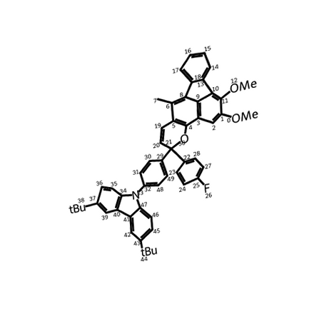 COc1cc2c3c(c(C)c4c2c(c1OC)-c1ccccc1-4)C=CC(c1ccc(F)cc1)(c1ccc(-n2c4ccc(C(C)(C)C)cc4c4cc(C(C)(C)C)ccc42)cc1)O3